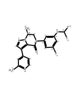 Cc1cc(-c2cnn3c2C(=O)N(c2cc(F)cc(OC(F)F)c2)C[C@@H]3C)ccn1